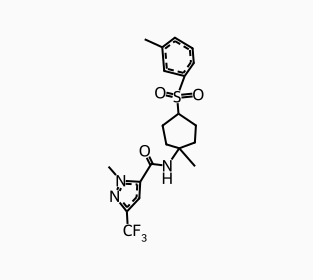 Cc1cccc(S(=O)(=O)C2CCC(C)(NC(=O)c3cc(C(F)(F)F)nn3C)CC2)c1